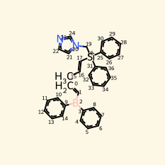 C=CB(c1ccccc1)c1ccccc1.CC=C[Si](Cn1ccnc1)(c1ccccc1)c1ccccc1